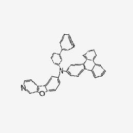 c1ccc(-c2cccc(N(c3ccc4oc5cnccc5c4c3)c3ccc4c5ccccc5c5ccccc5c4c3)c2)cc1